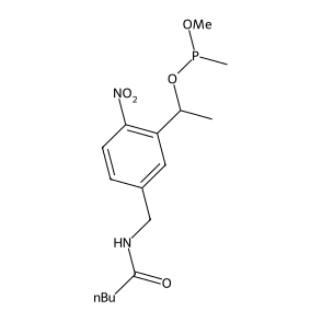 CCCCC(=O)NCc1ccc([N+](=O)[O-])c(C(C)OP(C)OC)c1